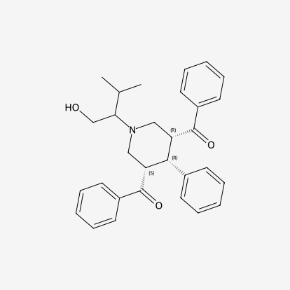 CC(C)C(CO)N1C[C@H](C(=O)c2ccccc2)[C@H](c2ccccc2)[C@H](C(=O)c2ccccc2)C1